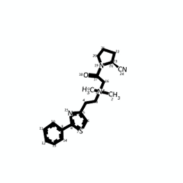 C[N+](C)(CCc1csc(-c2ccccc2)n1)CC(=O)N1CCC[C@H]1C#N